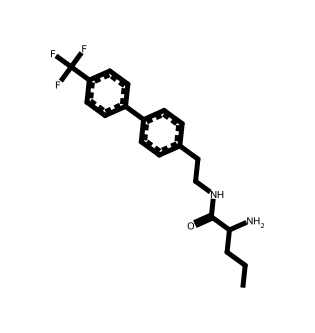 CCCC(N)C(=O)NCCc1ccc(-c2ccc(C(F)(F)F)cc2)cc1